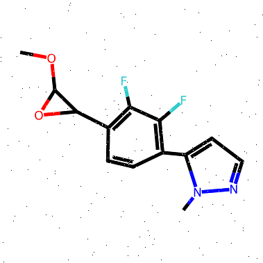 COC1OC1c1ccc(-c2ccnn2C)c(F)c1F